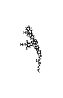 CCCCCCOC(=O)CCCN1CCC(N2CCN(C(=O)[C@@H](Cc3cc(C)c(O)c(C)c3)OC(=O)N3CCC(N4CCc5ccccc5NC4=O)CC3)CC2)CC1